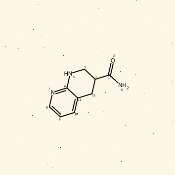 NC(=O)C1CNc2ncccc2C1